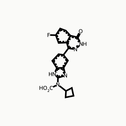 O=C(O)N(c1nc2cc(-c3n[nH]c(=O)c4ccc(F)cc34)ccc2[nH]1)C1CCC1